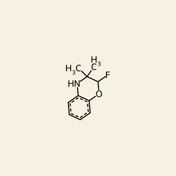 CC1(C)Nc2ccccc2OC1F